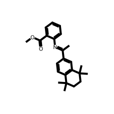 COC(=O)c1ccccc1N=C(C)c1ccc2c(c1)C(C)(C)CCC2(C)C